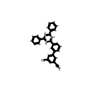 N#Cc1cc(Cl)cc(-c2cccc(-c3nc(-c4ccccc4)nc(-c4ccccc4)n3)c2)c1